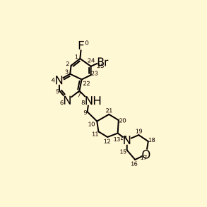 Fc1cc2ncnc(NCC3CCC(N4CCOCC4)CC3)c2cc1Br